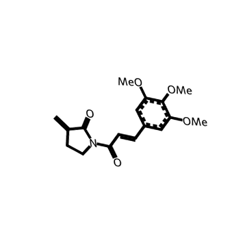 C=C1CCN(C(=O)C=Cc2cc(OC)c(OC)c(OC)c2)C1=O